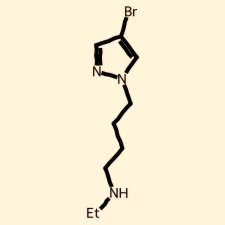 CCNCCCCn1cc(Br)cn1